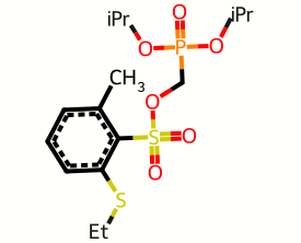 CCSc1cccc(C)c1S(=O)(=O)OCP(=O)(OC(C)C)OC(C)C